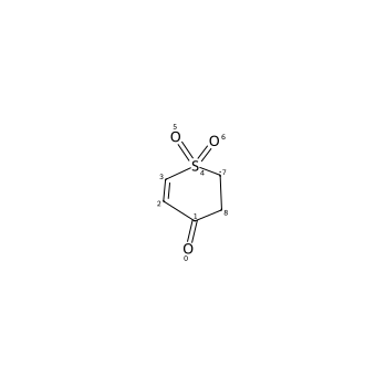 O=C1C=CS(=O)(=O)[CH]C1